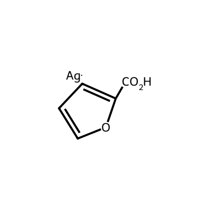 O=C(O)c1ccco1.[Ag]